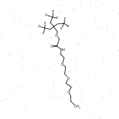 CCCOCCOCCOCCNC(=O)COCC(CC(F)(F)F)(CC(F)(F)F)CC(F)(F)F